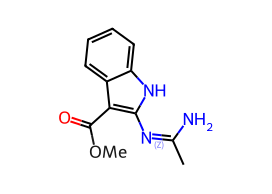 COC(=O)c1c(/N=C(/C)N)[nH]c2ccccc12